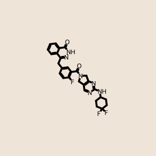 O=C(c1cc(Cc2n[nH]c(=O)c3ccccc23)ccc1F)N1Cc2cnc(NC3CCC(F)(F)CC3)nc2C1